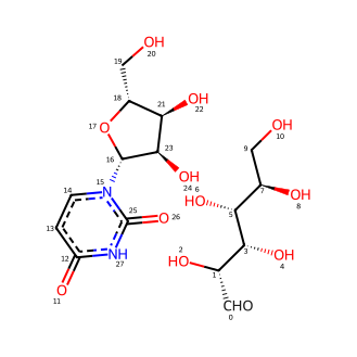 O=C[C@H](O)[C@@H](O)[C@H](O)[C@H](O)CO.O=c1ccn([C@@H]2O[C@H](CO)[C@@H](O)[C@H]2O)c(=O)[nH]1